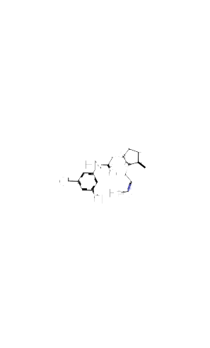 C=C1CC[C@@H](CC(=O)Nc2cc(Cl)cc(Cl)c2)[C@@H]1C/C=C\CC